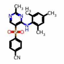 Cc1cc(C)c(Nc2nc(C)ncc2S(=O)(=O)c2ccc(C#N)cc2)c(C)c1